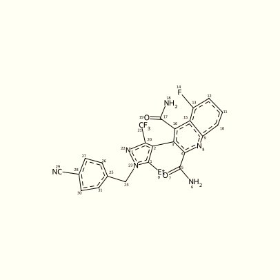 CCc1c(-c2c(C(N)=O)nc3cccc(F)c3c2C(N)=O)c(C(F)(F)F)nn1Cc1ccc(C#N)cc1